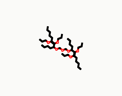 CCCCCC(OCCC)=C(OCCC)C(CCCC)OCOCOC(CCCC)C(OCCC)=C(CCCCC)OCCC